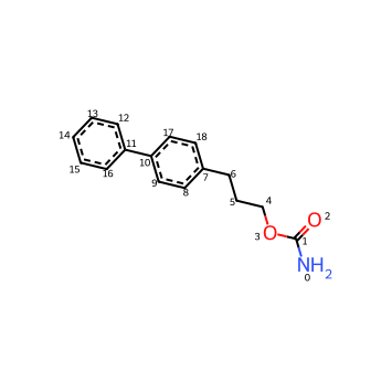 NC(=O)OCCCc1ccc(-c2ccccc2)cc1